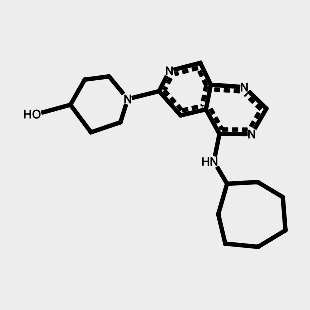 OC1CCN(c2cc3c(NC4CCCCCC4)ncnc3cn2)CC1